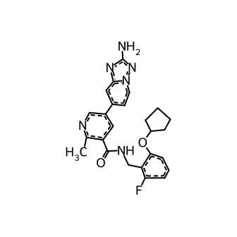 Cc1ncc(-c2ccn3nc(N)nc3c2)cc1C(=O)NCc1c(F)cccc1OC1CCCC1